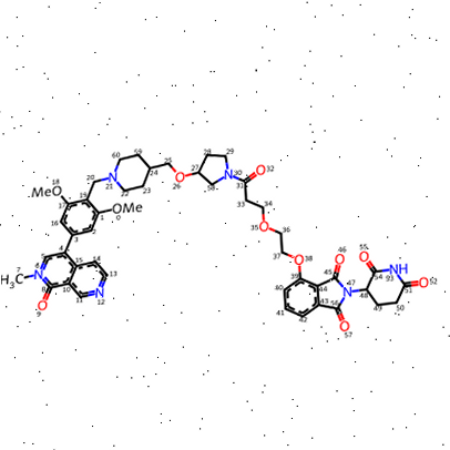 COc1cc(-c2cn(C)c(=O)c3cnccc23)cc(OC)c1CN1CCC(COC2CCN(C(=O)CCOCCOc3cccc4c3C(=O)N(C3CCC(=O)NC3=O)C4=O)C2)CC1